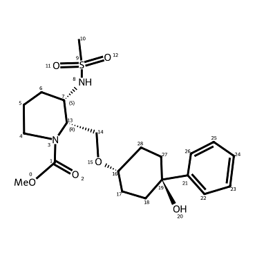 COC(=O)N1CCC[C@H](NS(C)(=O)=O)[C@@H]1CO[C@H]1CC[C@@](O)(c2ccccc2)CC1